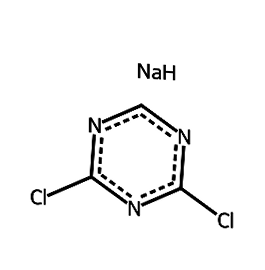 Clc1ncnc(Cl)n1.[NaH]